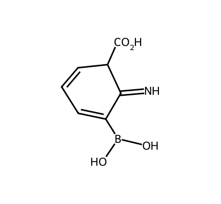 N=C1C(B(O)O)=CC=CC1C(=O)O